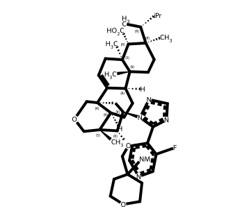 CNC1(CO[C@H]2[C@H](n3ncnc3-c3ccncc3F)C[C@@]34COC[C@]2(C)[C@@H]3CC[C@H]2C4=CC[C@@]3(C)[C@H](C(=O)O)[C@@](C)([C@H](C)C(C)C)CC[C@]23C)CCOCC1